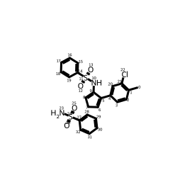 Cc1ccc(C2=CCC=C2NS(=O)(=O)c2ccccc2)cc1Cl.NS(=O)(=O)c1ccccc1